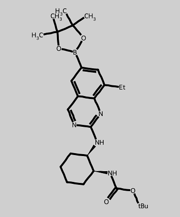 CCc1cc(B2OC(C)(C)C(C)(C)O2)cc2cnc(N[C@@H]3CCCC[C@@H]3NC(=O)OC(C)(C)C)nc12